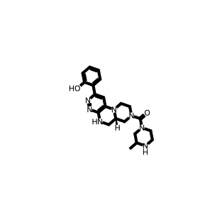 CC1CN(C(=O)N2CCN3c4cc(-c5ccccc5O)nnc4NC[C@H]3C2)CCN1